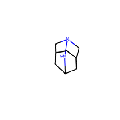 C1C2CC3CC1CN(C2)N3